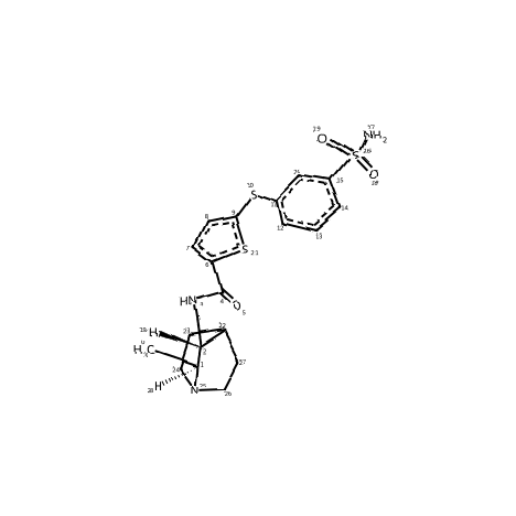 C[C@H]1[C@H](NC(=O)c2ccc(Sc3cccc(S(N)(=O)=O)c3)s2)C2CCN1CC2